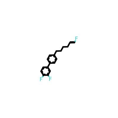 F/C=C/CCCCc1ccc(-c2ccc(F)c(F)c2)cc1